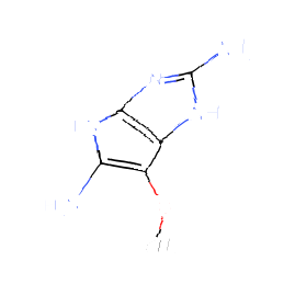 COc1c(N)[nH]c2nc(N)[nH]c12